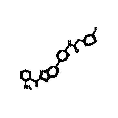 Nc1ccccc1Nc1nc2ccc(-c3ccc(NC(=O)Cc4cccc(F)c4)cc3)cn2n1